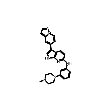 CN1CCN(c2cccc(Nc3ccc4c(-c5ccn6nccc6c5)c[nH]c4n3)c2)CC1